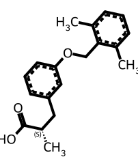 Cc1cccc(C)c1COc1cccc(C[C@H](C)C(=O)O)c1